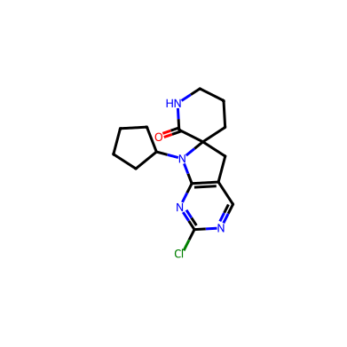 O=C1NCCCC12Cc1cnc(Cl)nc1N2C1CCCC1